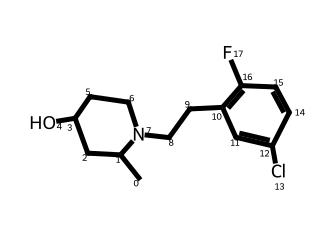 CC1CC(O)CCN1CCc1cc(Cl)ccc1F